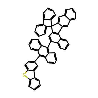 c1ccc2c(c1)-c1ccccc1C21c2cc3ccccc3cc2-c2c1cc(-c1c3ccccc3c(-c3ccc4sc5ccccc5c4c3)c3ccccc13)c1ccccc21